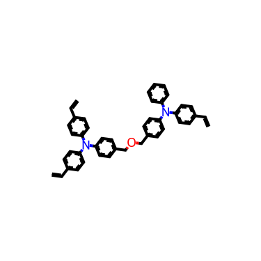 C=Cc1ccc(N(c2ccccc2)c2ccc(COCc3ccc(N(c4ccc(C=C)cc4)c4ccc(C=C)cc4)cc3)cc2)cc1